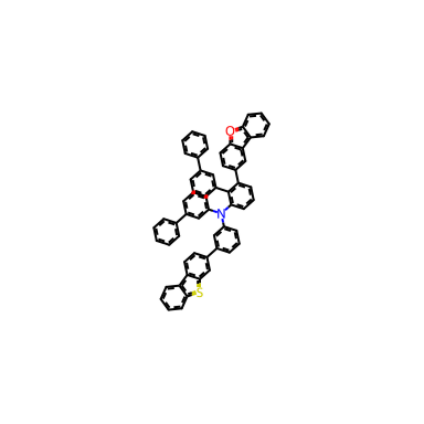 c1ccc(-c2cccc(-c3c(-c4ccc5oc6ccccc6c5c4)cccc3N(c3cccc(-c4ccccc4)c3)c3cccc(-c4ccc5c(c4)sc4ccccc45)c3)c2)cc1